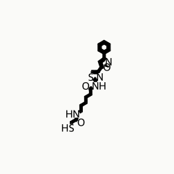 O=C(CS)NCCCCCC(=O)Nc1nc(-c2cc(-c3ccccc3)no2)cs1